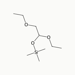 CCOC[C](OCC)O[Si](C)(C)C